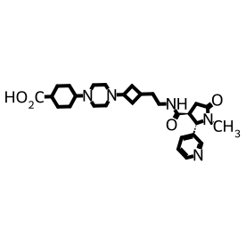 CN1C(=O)C[C@H](C(=O)NCCC2CC(N3CCN(C4CCC(C(=O)O)CC4)CC3)C2)[C@H]1c1cccnc1